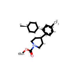 CC(C)(C)OC(=O)N1CCC(c2ccc(C(F)(F)F)cc2[C@H]2CC[C@H](C)CC2)CC1